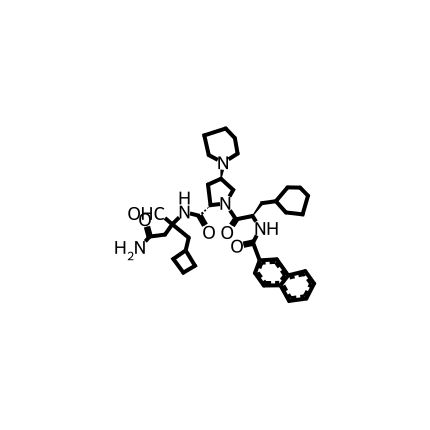 NC(=O)CC(C=O)(CC1CCC1)NC(=O)[C@@H]1C[C@@H](N2CCCCC2)CN1C(=O)[C@@H](CC1CCCCC1)NC(=O)c1ccc2ccccc2c1